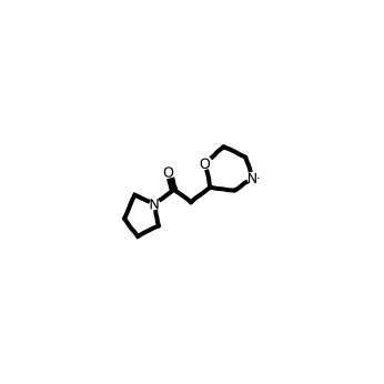 O=C(CC1C[N]CCO1)N1CCCC1